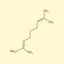 CC(C)=CCCCC=C(C)C(=O)O